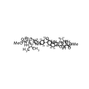 COC(=O)NC(C(=O)N1C[C@@H](C)[C@@H](C)[C@H]1c1ncc(-c2ccc3c(c2)COc2cc4c(ccc5nc([C@@H]6CC[C@H](C)N6C(=O)[C@@H](NC(=O)OC)C(C)C)[nH]c54)cc2-3)[nH]1)C(C)C